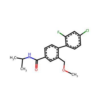 COCc1cc(C(=O)NC(C)C)ccc1-c1ccc(Cl)cc1F